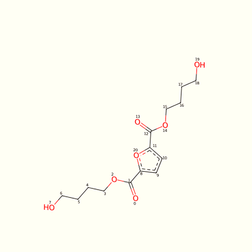 O=C(OCCCCO)c1ccc(C(=O)OCCCCO)o1